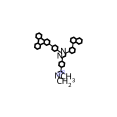 C=C/N=C\C(=C/C)c1ccc(-c2cc(-c3cccc(-c4cccc5ccccc45)c3)nc(-c3ccc(-c4ccc5c6ccccc6c6ccccc6c5c4)cc3)n2)cc1